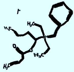 C=CC(=O)OC(CCC)[N+](CC)(CC)Cc1ccccc1.[I-]